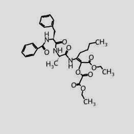 CCCC/C(NC(=O)[C@H](C)NC(=O)[C@H](Cc1ccccc1)NC(=O)c1ccccc1)=C(/OC(=O)C(=O)OCC)C(=O)OCC